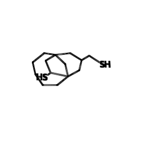 SCC1CC23CCCCCC(C1)(C2)C(S)C3